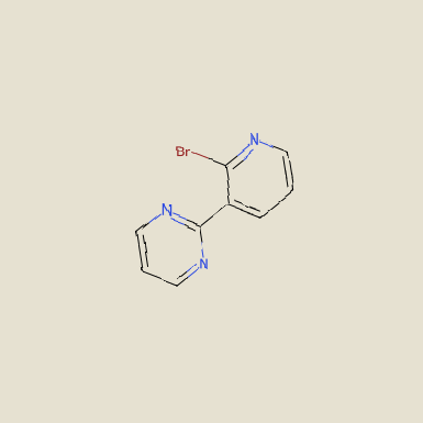 Brc1ncccc1-c1ncccn1